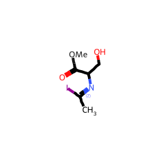 COC(=O)C(CO)/N=C(/C)I